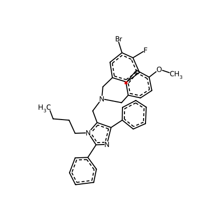 CCCCn1c(-c2ccccc2)nc(-c2ccccc2)c1CN(Cc1ccc(OC)cc1)Cc1ccc(F)c(Br)c1